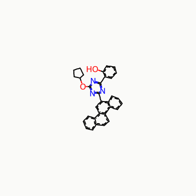 Oc1ccccc1-c1nc(OC2CCCC2)nc(-c2cc3c4ccccc4ccc3c3ccccc23)n1